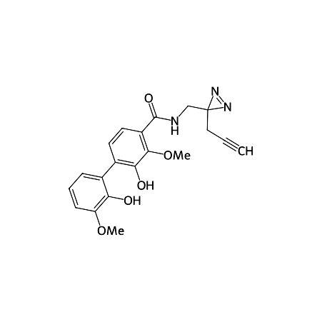 C#CCC1(CNC(=O)c2ccc(-c3cccc(OC)c3O)c(O)c2OC)N=N1